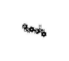 c1ccc2c(c1)nc1[nH]c3nc(-c4ccc5c(c4)nc4oc6ncncc6n45)ncc3n12